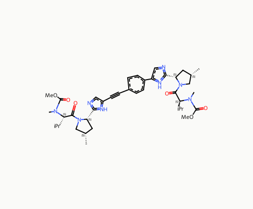 COC(=O)N(C)[C@H](C(=O)N1C[C@@H](C)C[C@H]1c1ncc(C#Cc2ccc(-c3cnc([C@@H]4C[C@H](C)CN4C(=O)[C@H](C(C)C)N(C)C(=O)OC)[nH]3)cc2)[nH]1)C(C)C